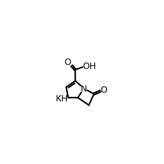 O=C(O)C1=CCC2CC(=O)N12.[KH]